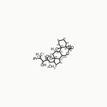 CC(C)C(C)C(O)C(O)[C@@H](C)C1CCC2C3COC(=O)[C@H]4CCCCC4(C)C3CCC21C